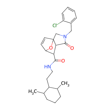 CC1CCCC(C)C1CCNC(=O)C1C2C=CC3(CN(Cc4ccccc4Cl)C(=O)C13)O2